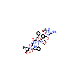 CC(C)C[C@H](NC(=O)[C@H](Cc1ccccc1)NC(=O)[C@H](C)NC(=O)[C@H](CCc1ccccc1)NC(=O)C[N+]1(Cc2ccc(OC(=O)C(C)(C)C)c(C(=O)NC/C(N)=C/N)c2)CCOCC1)C(=O)[C@@]1(C)CO1